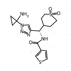 NC1(n2cc([C@@H](NC(=O)c3ccsc3)C3CCS(=O)(=O)CC3)nn2)CC1